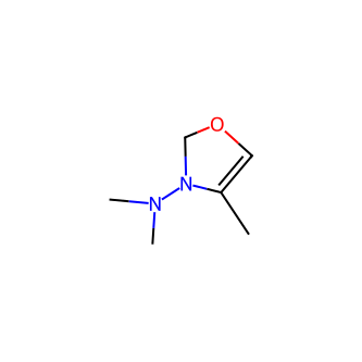 CC1=COCN1N(C)C